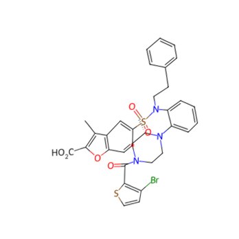 Cc1c(C(=O)O)oc2ccc(S(=O)(=O)N(CCc3ccccc3)c3ccccc3N3CCN(C(=O)c4sccc4Br)C[C@@H]3C)cc12